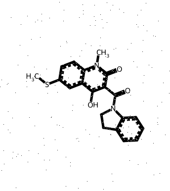 CSc1ccc2c(c1)c(O)c(C(=O)N1CCc3ccccc31)c(=O)n2C